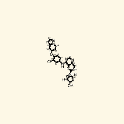 O[C@H]1C[C@H]2C[C@@H]1CN2c1ncc2ncnc(Nc3ccc(Oc4ccn5ncnc5c4)c(Cl)c3)c2n1